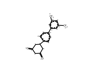 O=C1CC(=O)CC(c2ccc(-c3cc(C(F)(F)F)cc(C(F)(F)F)c3)cc2)C1